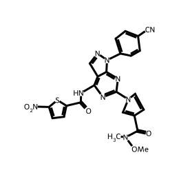 CON(C)C(=O)c1ccn(-c2nc(NC(=O)c3ccc([N+](=O)[O-])s3)c3cnn(-c4ccc(C#N)cc4)c3n2)c1